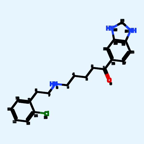 O=C(CCCCNCCc1ccccc1Cl)c1ccc2c(c1)N[CH]N2